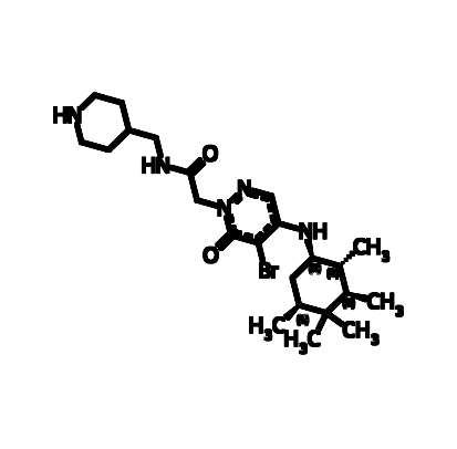 C[C@@H]1[C@@H](C)C(C)(C)[C@@H](C)C[C@H]1Nc1cnn(CC(=O)NCC2CCNCC2)c(=O)c1Br